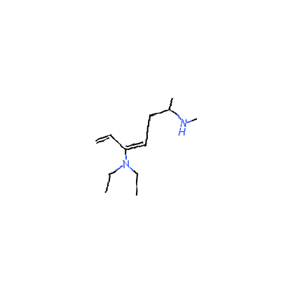 C=C/C(=C\CC(C)NC)N(CC)CC